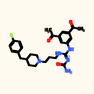 CC(=O)c1cc(N/C(=N/C(N)=O)NCCCN2CCC(Cc3ccc(F)cc3)CC2)cc(C(C)=O)c1